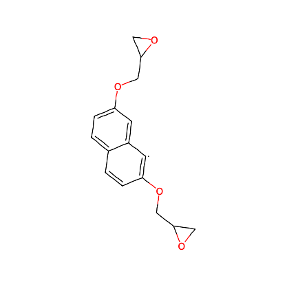 [c]1c(OCC2CO2)ccc2ccc(OCC3CO3)cc12